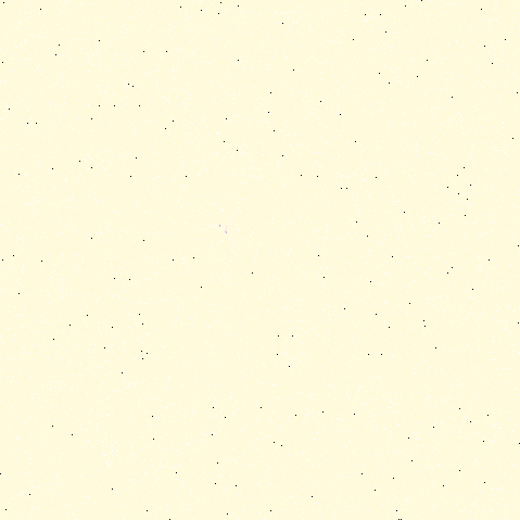 [CH]1CCCCN1C(c1ccccc1)c1ccccc1